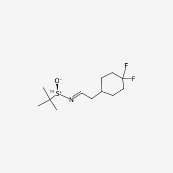 CC(C)(C)[S@@+]([O-])N=CCC1CCC(F)(F)CC1